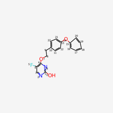 Oc1ncc(F)c(OCCc2ccc(Oc3ccccc3)cc2)n1